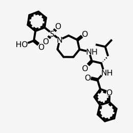 CC(C)C[C@H](NC(=O)c1cc2ccccc2o1)C(=O)NC1CCCN(S(=O)(=O)c2ccccc2C(=O)O)CC1=O